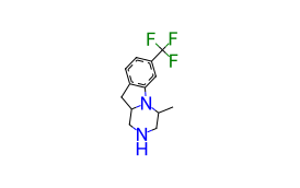 CC1CNCC2Cc3ccc(C(F)(F)F)cc3N12